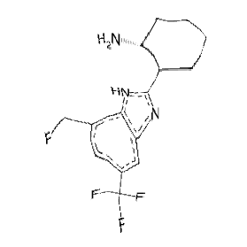 N[C@@H]1CCCCC1c1nc2cc(C(F)(F)F)cc(CF)c2[nH]1